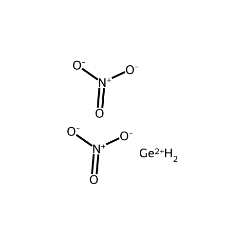 O=[N+]([O-])[O-].O=[N+]([O-])[O-].[GeH2+2]